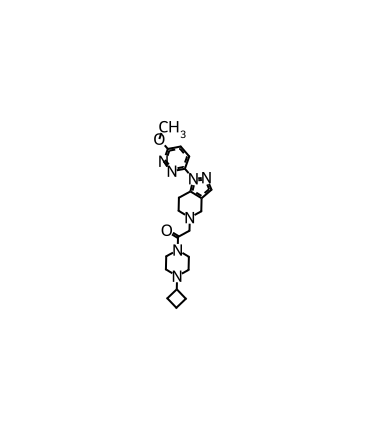 COc1ccc(-n2ncc3c2CCN(CC(=O)N2CCN(C4CCC4)CC2)C3)nn1